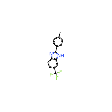 Cc1ccc(-c2nc3ccc(C(F)(F)F)cc3[nH]2)cc1